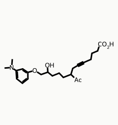 CC(=O)C(CC#CCCCC(=O)O)CCCC(O)COc1cccc(N(C)C)c1